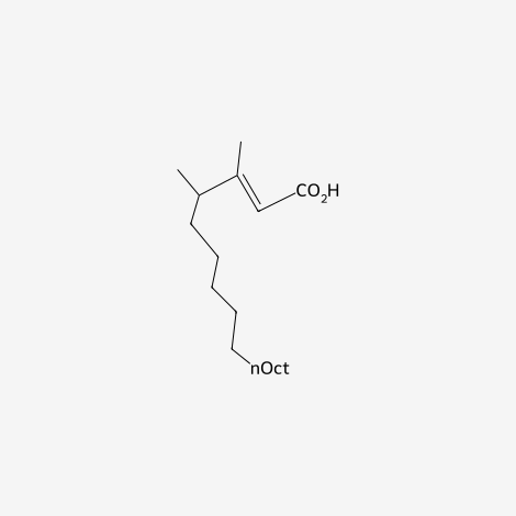 CCCCCCCCCCCCCC(C)C(C)=CC(=O)O